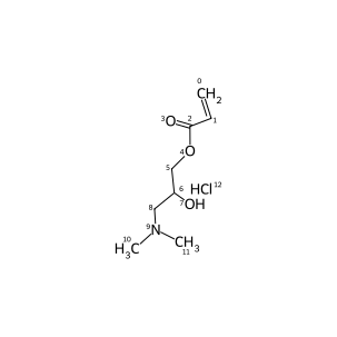 C=CC(=O)OCC(O)CN(C)C.Cl